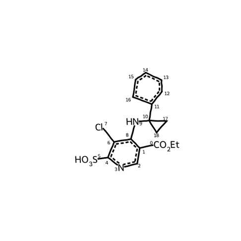 CCOC(=O)c1cnc(S(=O)(=O)O)c(Cl)c1NC1(c2ccccc2)CC1